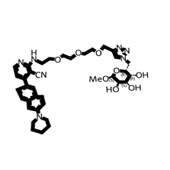 CO[C@H]1O[C@H](Cn2cc(COCCOCCOCCNc3nccc(-c4ccc5cc(N6CCCCC6)ccc5c4)c3C#N)nn2)[C@H](O)[C@H](O)[C@H]1O